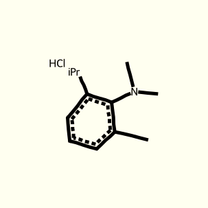 Cc1cccc(C(C)C)c1N(C)C.Cl